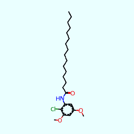 CCCCCCCCCCCCCCCC(=O)Nc1cc(OC)cc(OC)c1Cl